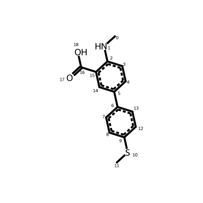 CNc1ccc(-c2ccc(SC)cc2)cc1C(=O)O